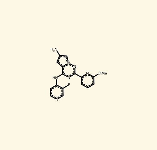 COc1cccc(-c2nc(Nc3ccncc3F)c3cc(N)cn3n2)n1